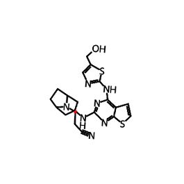 N#CCCN1C2CCC1CC(Nc1nc(Nc3ncc(CO)s3)c3ccsc3n1)C2